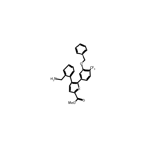 COC(=O)c1ccc(-c2ccccc2CN)c(-c2ccc(C(F)(F)F)c(OCc3ccccc3)c2)n1